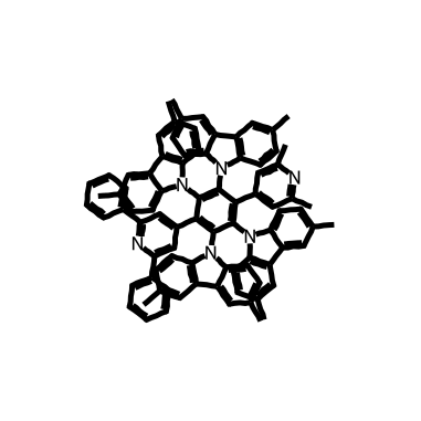 Cc1ccc2c(c1)c1cc(C)ccc1n2-c1c(-c2cc(C)nc(C)c2)c(-n2c3ccc(C)cc3c3cc(C)ccc32)c(-n2c3ccc(C)cc3c3cc(C)ccc32)c(-c2cc(-c3ccccc3)nc(-c3ccccc3)c2)c1-n1c2ccc(C)cc2c2cc(C)ccc21